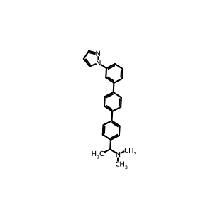 CC(c1ccc(-c2ccc(-c3cccc(-n4cccn4)c3)cc2)cc1)N(C)C